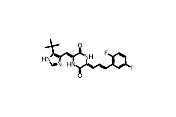 CC(C)(C)c1[nH]cnc1/C=c1\[nH]c(=O)/c(=C/C=C/c2cc(F)ccc2F)[nH]c1=O